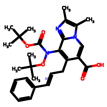 Cc1nc2c(N(OC(C)(C)C)C(=O)OC(C)(C)C)c(C/C=C/c3ccccc3)c(C(=O)O)cn2c1C